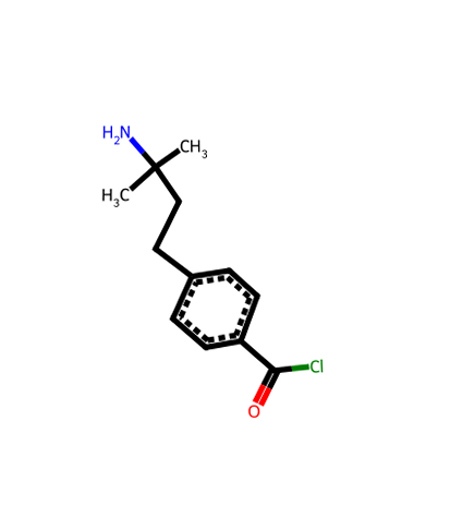 CC(C)(N)CCc1ccc(C(=O)Cl)cc1